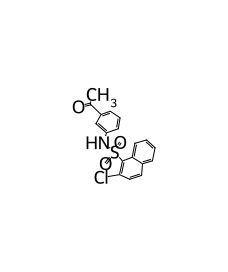 CC(=O)c1cccc(NS(=O)(=O)c2c(Cl)ccc3ccccc23)c1